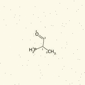 CC(P)C=O